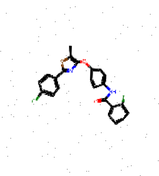 Cc1sc(-c2ccc(Cl)cc2)nc1Oc1ccc(NC(=O)c2ccccc2F)cc1